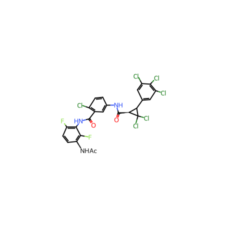 CC(=O)Nc1ccc(F)c(NC(=O)c2cc(NC(=O)[C@H]3C(c4cc(Cl)c(Cl)c(Cl)c4)C3(Cl)Cl)ccc2Cl)c1F